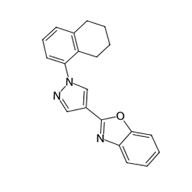 c1cc2c(c(-n3cc(-c4nc5ccccc5o4)cn3)c1)CCCC2